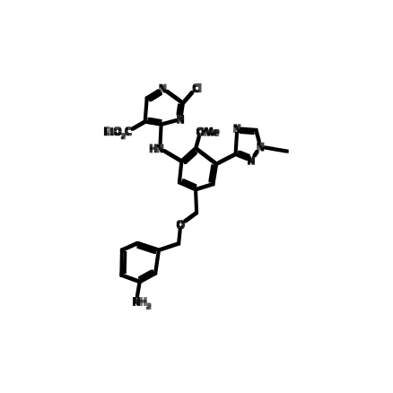 CCOC(=O)c1cnc(Cl)nc1Nc1cc(COCc2cccc(N)c2)cc(-c2ncn(C)n2)c1OC